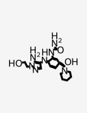 NC(=O)NC1=CC(=C(O)N2CCCCC2)C=CC1=Nc1cnn(CCO)c1N